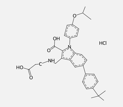 CC(C)Oc1ccc(-n2c(C(=O)O)c(CNCCC(=O)O)c3cc(-c4ccc(C(C)(C)C)cc4)ccc32)cc1.Cl